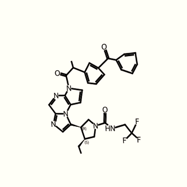 CC[C@@H]1CN(C(=O)NCC(F)(F)F)C[C@@H]1c1cnc2cnc3c(ccn3C(=O)C(C)c3cccc(C(=O)c4ccccc4)c3)n12